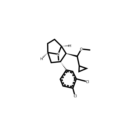 COC(C1CC1)[C@H]1[C@H](c2ccc(Cl)c(Cl)c2)C[C@H]2CC[C@@H]1N2C